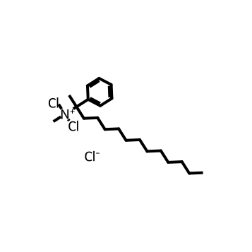 CCCCCCCCCCCCC(C)(c1ccccc1)[N+](C)(Cl)Cl.[Cl-]